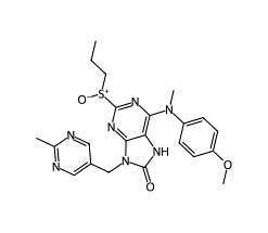 CCC[S+]([O-])c1nc(N(C)c2ccc(OC)cc2)c2[nH]c(=O)n(Cc3cnc(C)nc3)c2n1